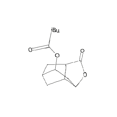 CCC(C)C(=O)OC1C2CC3C(=O)OC1C3C2